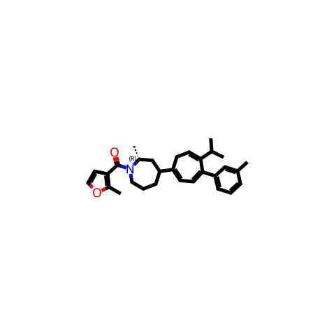 Cc1cccc(C2=CC=C(C3CCCN(C(=O)c4ccoc4C)[C@H](C)C3)CC=C2C(C)C)c1